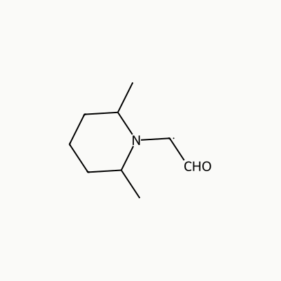 CC1CCCC(C)N1[CH]C=O